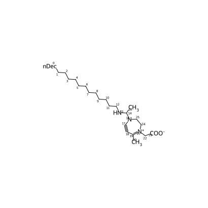 CCCCCCCCCCCCCCCCCCCCCCNC(C)N1C#CC(C)=[N+](CC(=O)[O-])CC1